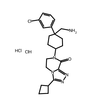 Cl.Cl.NCC1(c2cccc(Cl)c2)CCC(N2CCn3c(nnc3C3CCC3)C2=O)CC1